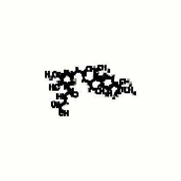 CCC(CC(C)Cc1nc(C)c(O)c(C(=O)NCC(=O)O)n1)N(CC)c1ccc(C(C)(C)C)cc1